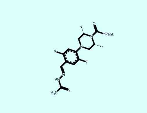 CCCCCC(=O)N1[C@H](C)CN(c2cc(F)c(C=NNC(N)=S)cc2F)C[C@@H]1C